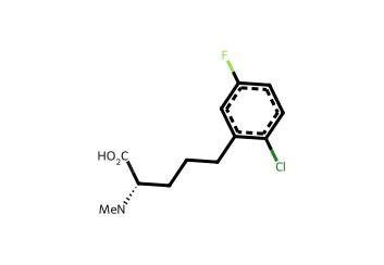 CN[C@@H](CCCc1cc(F)ccc1Cl)C(=O)O